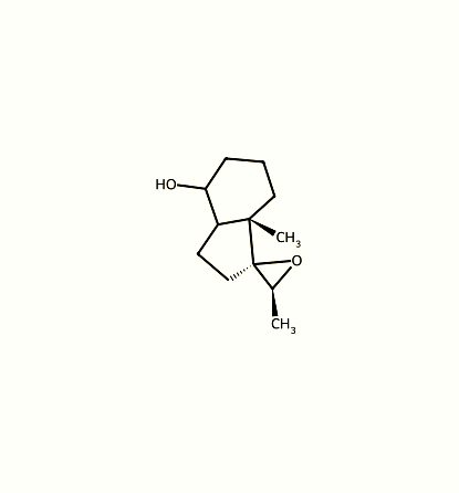 C[C@@H]1O[C@@]12CCC1C(O)CCC[C@@]12C